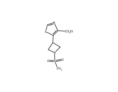 CCOC(=O)c1ncsc1C1CN(S(C)(=O)=O)C1